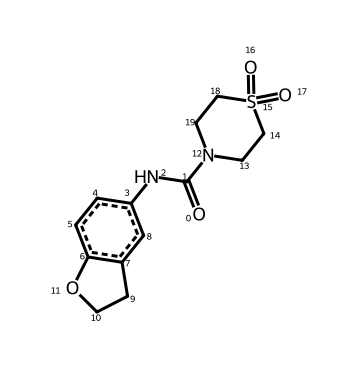 O=C(Nc1ccc2c(c1)CCO2)N1CCS(=O)(=O)CC1